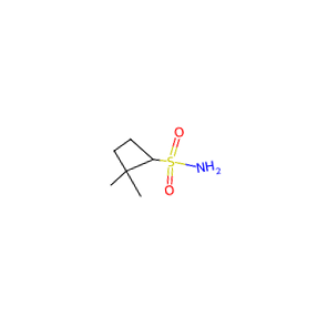 CC1(C)CCC1S(N)(=O)=O